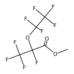 COC(=O)C(F)(OC(F)(F)C(F)(F)F)C(F)(F)F